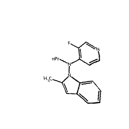 CCCN(c1ccncc1F)n1c(C)cc2ccccc21